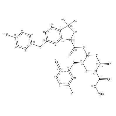 Cc1ccc(=O)n(C[C@@H]2CN(C(=O)OC(C)(C)C)[C@H](C)CN2CC(=O)N2CC(C)(C)c3ncc(Cc4ccc(F)cc4)cc32)c1